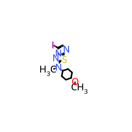 COC1CCC(N(C)c2nn3c(I)cnc3s2)CC1